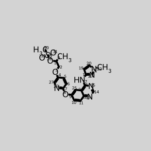 CC(COc1ccc(Oc2ccc3ncnc(Nc4ccn(C)n4)c3c2)nc1)OS(C)(=O)=O